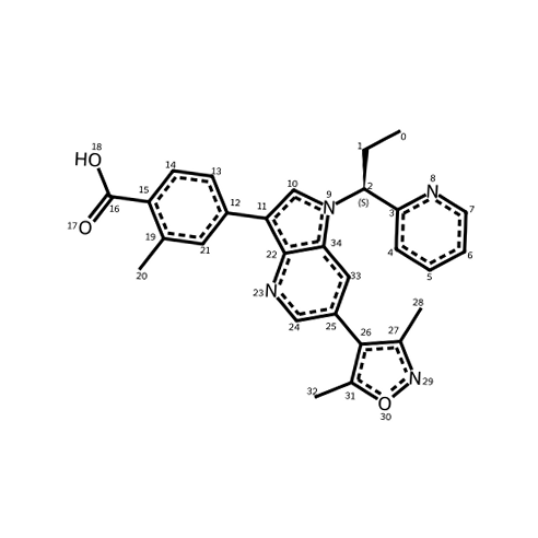 CC[C@@H](c1ccccn1)n1cc(-c2ccc(C(=O)O)c(C)c2)c2ncc(-c3c(C)noc3C)cc21